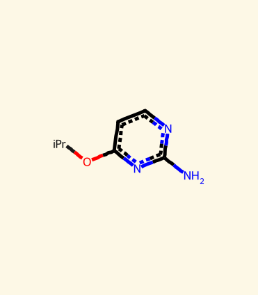 CC(C)Oc1ccnc(N)n1